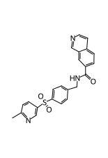 Cc1ccc(S(=O)(=O)c2ccc(CNC(=O)c3ccc4ccncc4c3)cc2)cn1